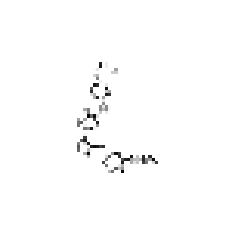 CC(=O)Nc1cc(Cc2sccc2-c2nnc(Nc3ccc(OC(F)(F)F)cc3)s2)ccn1